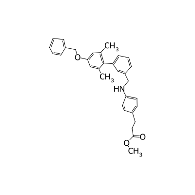 COC(=O)CCc1ccc(NCc2cccc(-c3c(C)cc(OCc4ccccc4)cc3C)c2)cc1